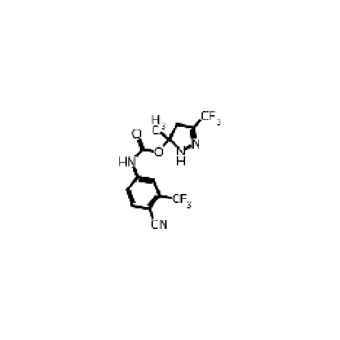 CC1(OC(=O)Nc2ccc(C#N)c(C(F)(F)F)c2)CC(C(F)(F)F)=NN1